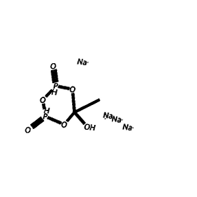 CC1(O)O[PH](=O)O[PH](=O)O1.[Na].[Na].[Na].[Na]